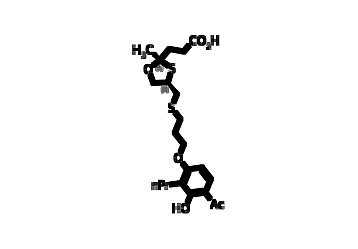 CCCc1c(OCCCSC[C@H]2CO[C@](C)(CCC(=O)O)S2)ccc(C(C)=O)c1O